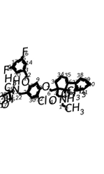 CCNC(=O)C1(COc2cc(OCc3cc(F)cc(F)c3)c(CNC(C)(CO)CO)cc2Cl)C=CC=C(c2ccccc2)C1(C)C